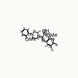 COc1ccccc1N1CCN(C(=Nc2cc(C)c(C)nc2OC)NO)CC1